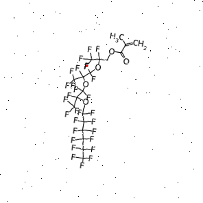 C=C(C)C(=O)OCC(F)(OC(F)(F)C(F)(OC(F)(F)C(F)(OC(F)(F)C(F)(F)C(F)(F)C(F)(F)C(F)(F)C(F)(F)F)C(F)(F)F)C(F)(F)F)C(F)(F)F